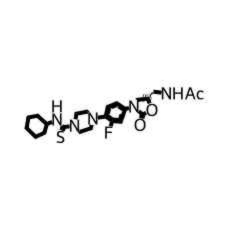 CC(=O)NC[C@H]1CN(c2ccc(N3CCN(C(=S)NC4CCCCC4)CC3)c(F)c2)C(=O)O1